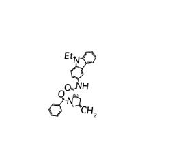 C=C1C[C@@H](C(=O)Nc2ccc3c(c2)c2ccccc2n3CC)N(C(=O)c2ccccc2)C1